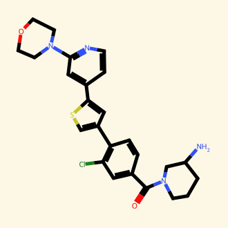 NC1CCCN(C(=O)c2ccc(-c3csc(-c4ccnc(N5CCOCC5)c4)c3)c(Cl)c2)C1